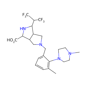 Cc1cccc(CN2CC3C(C(=O)O)NC(C(C(F)(F)F)C(F)(F)F)C3C2)c1N1CCN(C)CC1